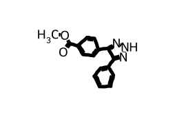 COC(=O)c1ccc(-c2n[nH]nc2-c2ccccc2)cc1